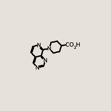 O=C(O)C1CCN(c2nccc3cncnc23)CC1